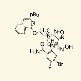 CCCCc1cc2ccccc2c(OCC[N+](C)(C)c2nonc2/C(=N\O)Nc2cc(Br)c(F)cc2C(N)=O)n1